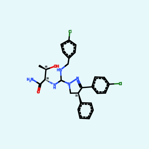 C[C@@H](O)[C@H](NC(NCc1ccc(Cl)cc1)N1C[C@H](c2ccccc2)C(c2ccc(Cl)cc2)=N1)C(N)=O